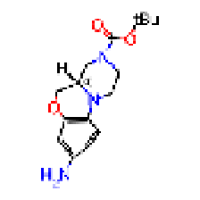 CC(C)(C)OC(=O)N1CCN2c3ccc(N)cc3OC[C@@H]2C1